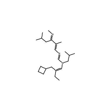 CC/C(=C/N(/C=N/C=C(C)/C(CC(C)C)=N/C)CC(C)C)CC1CCC1